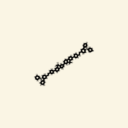 CC1(C)c2cc(-c3ccc(/C=C/c4ccc5c(c4)c4ccccc4n5-c4ccccc4)cc3)ccc2-c2ccc(-c3ccc4c(c3)C(C)(C)c3cc(-c5ccc(/C=C/c6ccc7c(c6)c6ccccc6n7-c6ccccc6)cc5)ccc3-4)cc21